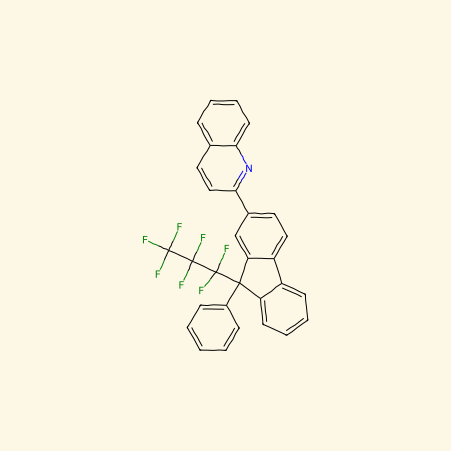 FC(F)(F)C(F)(F)C(F)(F)C1(c2ccccc2)c2ccccc2-c2ccc(-c3ccc4ccccc4n3)cc21